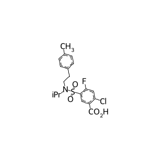 Cc1ccc(CCN(C(C)C)S(=O)(=O)c2cc(C(=O)O)c(Cl)cc2F)cc1